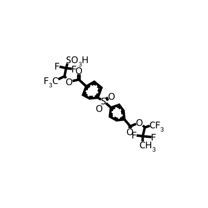 CC(F)(F)C(OC(=O)c1ccc(S(=O)(=O)c2ccc(C(=O)OC(C(F)(F)F)C(F)(F)S(=O)(=O)O)cc2)cc1)C(F)(F)F